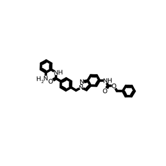 Nc1ccccc1NC(=O)c1ccc(Cn2cc3cc(NC(=O)OCc4ccccc4)ccc3n2)cc1